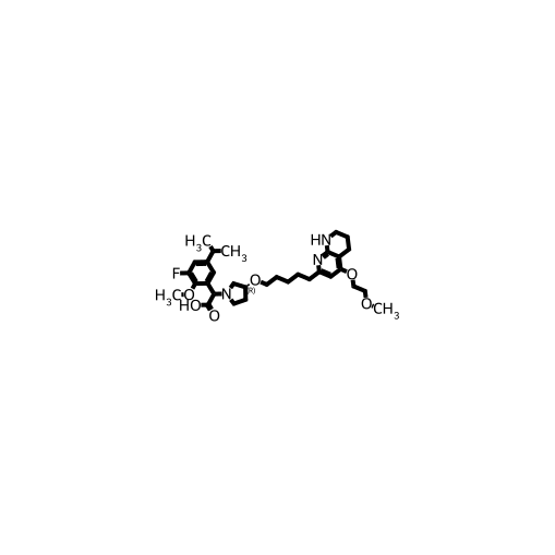 COCCOc1cc(CCCCCO[C@@H]2CCN(C(C(=O)O)c3cc(C(C)C)cc(F)c3OC)C2)nc2c1CCCN2